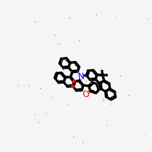 CC1(C)c2ccc(N(c3ccc4ccccc4c3-c3cccc4ccccc34)c3cccc4oc5ccccc5c34)cc2-c2cc3ccccc3cc21